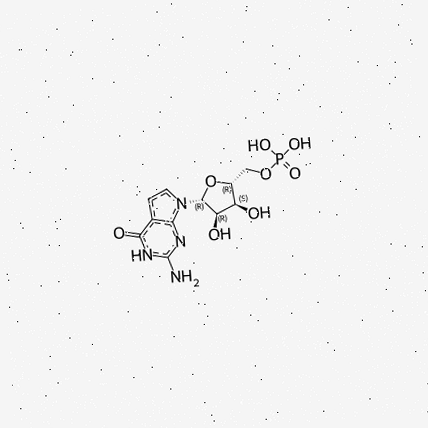 Nc1nc2c(ccn2[C@@H]2O[C@H](COP(=O)(O)O)[C@@H](O)[C@H]2O)c(=O)[nH]1